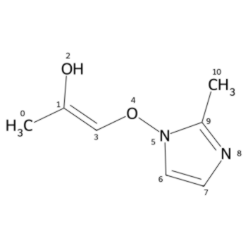 CC(O)=COn1ccnc1C